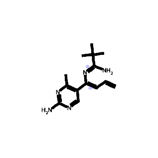 C=C/C=C(\N=C(/N)C(C)(C)C)c1cnc(N)nc1C